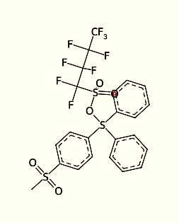 CS(=O)(=O)c1ccc(S(OS(=O)(=O)C(F)(F)C(F)(F)C(F)(F)C(F)(F)F)(c2ccccc2)c2ccccc2)cc1